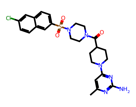 Cc1cc(N2CCC(C(=O)N3CCN(S(=O)(=O)c4ccc5cc(Cl)ccc5c4)CC3)CC2)nc(N)n1